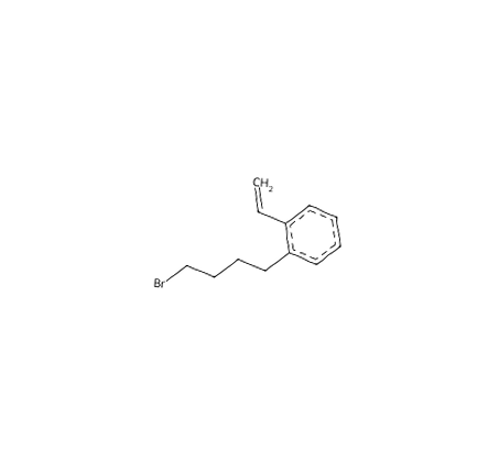 C=Cc1ccccc1CCCCBr